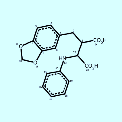 O=C(O)C(Cc1ccc2c(c1)OCO2)C(Nc1ccccc1)C(=O)O